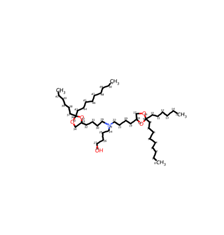 CCCCCCCCCC1(CCCCCC)OCC(CCCCN(CCCCO)CCCCC2COC(CCCCCC)(CCCCCCCCC)O2)O1